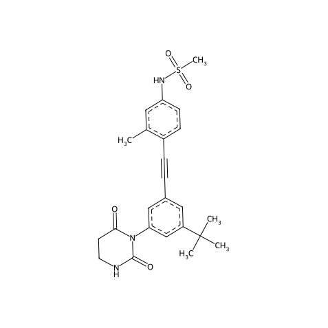 Cc1cc(NS(C)(=O)=O)ccc1C#Cc1cc(N2C(=O)CCNC2=O)cc(C(C)(C)C)c1